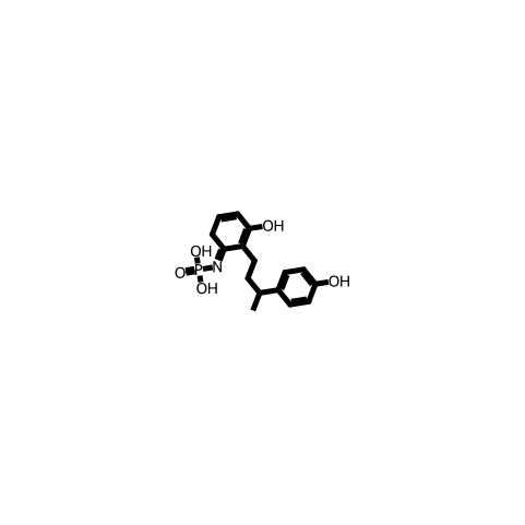 CC(CCC1=C(O)C=CCC1=NP(=O)(O)O)c1ccc(O)cc1